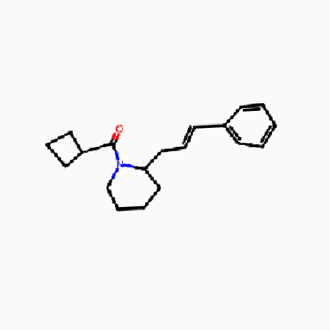 O=C(C1CCC1)N1CCCCC1CC=Cc1ccccc1